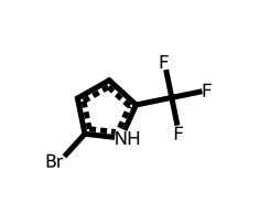 FC(F)(F)c1ccc(Br)[nH]1